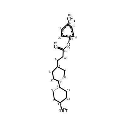 CCC[C@H]1CC[C@H]([C@H]2CC[C@H](CCC(=O)Oc3ccc(C(F)(F)F)cc3)CC2)CC1